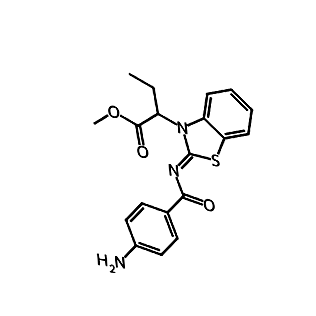 CCC(C(=O)OC)n1/c(=N/C(=O)c2ccc(N)cc2)sc2ccccc21